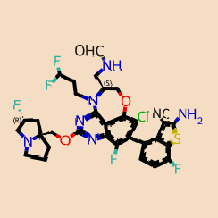 N#Cc1c(N)sc2c(F)ccc(-c3c(Cl)c4c5c(nc(OC[C@@]67CCCN6C[C@H](F)C7)nc5c3F)N(CCC(F)F)[C@@H](CNC=O)CO4)c12